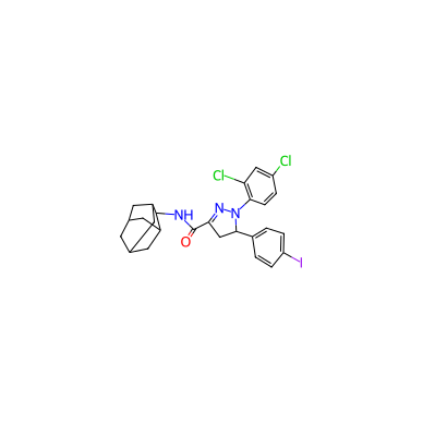 O=C(NC1C2CC3CC(C2)CC1C3)C1=NN(c2ccc(Cl)cc2Cl)C(c2ccc(I)cc2)C1